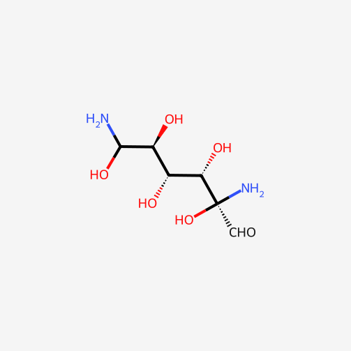 NC(O)[C@@H](O)[C@@H](O)[C@H](O)[C@@](N)(O)C=O